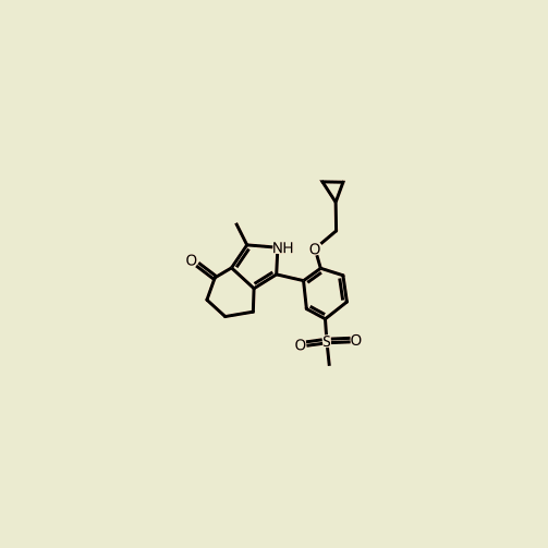 Cc1[nH]c(-c2cc(S(C)(=O)=O)ccc2OCC2CC2)c2c1C(=O)CCC2